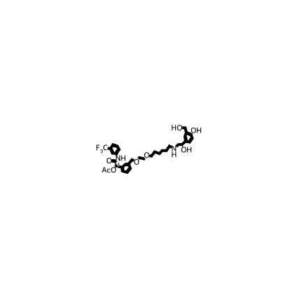 CC(=O)ON(C(=O)Nc1cccc(C(F)(F)F)c1)c1cccc(COCCOCCCCCCNC[C@@H](O)c2ccc(O)c(CO)c2)c1